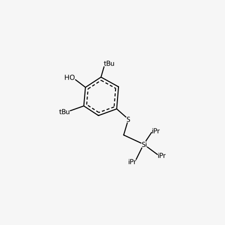 CC(C)[Si](CSc1cc(C(C)(C)C)c(O)c(C(C)(C)C)c1)(C(C)C)C(C)C